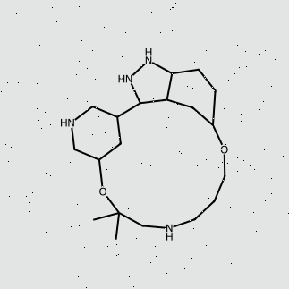 CC1(C)CNCCCOC2CCC3NNC(C4CNCC(C4)O1)C3C2